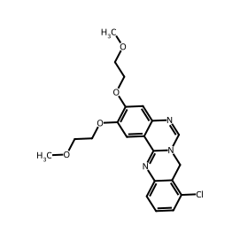 COCCOc1cc2c(cc1OCCOC)C1=Nc3cccc(Cl)c3CN1C=N2